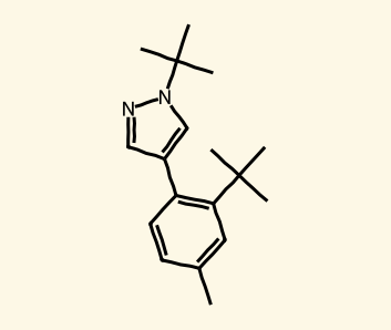 Cc1ccc(-c2cnn(C(C)(C)C)c2)c(C(C)(C)C)c1